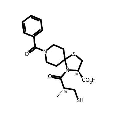 C[C@@H](CS)C(=O)N1[C@H](C(=O)O)CSC12CCN(C(=O)c1ccccc1)CC2